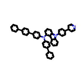 c1ccc(-c2ccc(-c3ccc(N(c4ccc(-c5ccccc5)cc4)c4cccc5c4c4ccccc4n5-c4ccc(-c5ccncc5)cc4)cc3)cc2)cc1